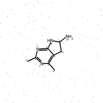 Cc1nc(C)c2c(n1)NC(N)C2